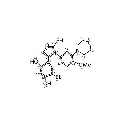 CCc1cc(-c2cnc(S)n2-c2ccc(OC)c(N3CCOCC3)c2)c(O)cc1O